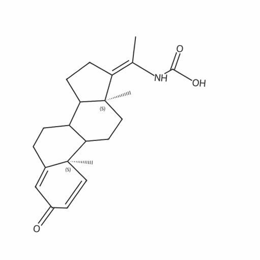 CC(NC(=O)O)=C1CCC2C3CCC4=CC(=O)C=C[C@]4(C)C3CC[C@]12C